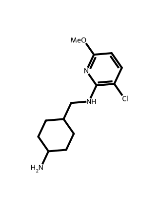 COc1ccc(Cl)c(NCC2CCC(N)CC2)n1